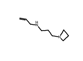 C=CCNCCCN1CCC1